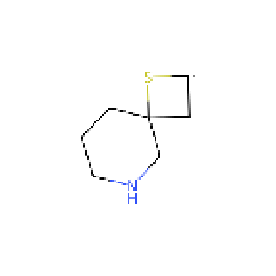 [CH]1CC2(CCCNC2)S1